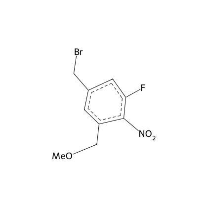 COCc1cc(CBr)cc(F)c1[N+](=O)[O-]